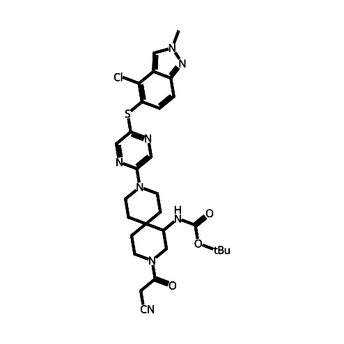 Cn1cc2c(Cl)c(Sc3cnc(N4CCC5(CCN(C(=O)CC#N)CC5NC(=O)OC(C)(C)C)CC4)cn3)ccc2n1